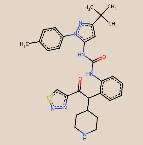 Cc1ccc(-n2nc(C(C)(C)C)cc2NC(=O)Nc2ccccc2C(C(=O)c2csnn2)C2CCNCC2)cc1